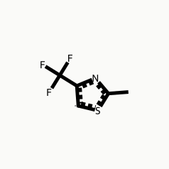 Cc1nc(C(F)(F)F)[c]s1